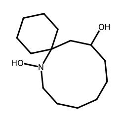 OC1CCCCCCN(O)C2(CCCCC2)C1